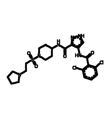 O=C(NC1CCN(S(=O)(=O)CCN2CCCC2)CC1)c1n[nH]cc1NC(=O)c1c(Cl)cccc1Cl